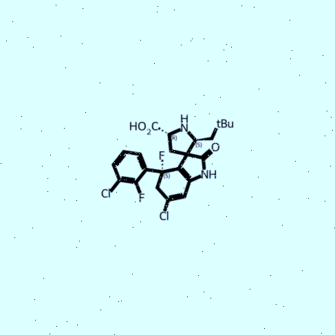 CC(C)(C)C[C@@H]1N[C@@H](C(=O)O)CC12C(=O)NC1=C2[C@](F)(c2cccc(Cl)c2F)CC(Cl)=C1